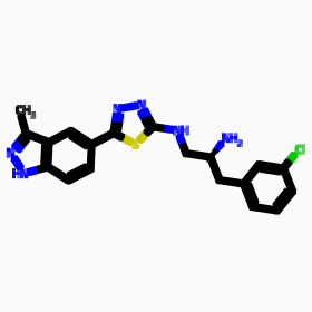 Cc1n[nH]c2ccc(-c3nnc(NC[C@@H](N)Cc4cccc(Cl)c4)s3)cc12